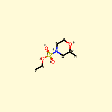 CCOS(=O)(=O)N1CCOC(C)C1